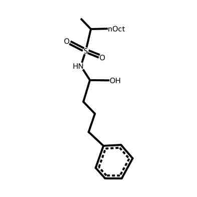 CCCCCCCCC(C)S(=O)(=O)NC(O)CCCc1ccccc1